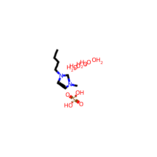 CCCCN1C=CN(C)C1.O.O.O.O.O.O=S(=O)(O)O